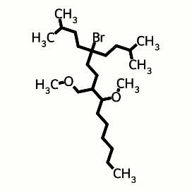 CCCCCCC(OC)C(CCC(Br)(CCC(C)C)CCC(C)C)COC